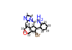 CCc1nccn1Cc1c2ccocc-2c(Br)c1-c1ccccc1N